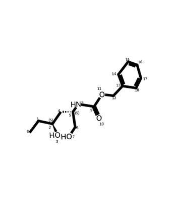 CC[C@H](O)C[C@@H](CO)NC(=O)OCc1ccccc1